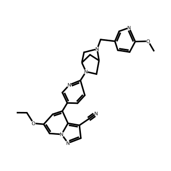 CCOc1cc(-c2ccc(N3CC4CC3CN4Cc3ccc(OC)nc3)nc2)c2c(C#N)cnn2c1